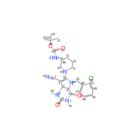 CN1C(=O)C2C(C(C#N)=C(N3CCC[C@@H](NC(=O)OC(C)(C)C)C3)N2Cc2ccccc2Cl)N(C)C1=O